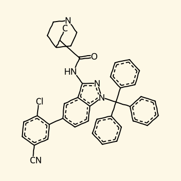 N#Cc1ccc(Cl)c(-c2ccc3c(c2)c(NC(=O)C2CN4CCC2CC4)nn3C(c2ccccc2)(c2ccccc2)c2ccccc2)c1